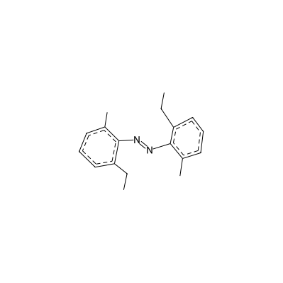 CCc1cccc(C)c1/N=N/c1c(C)cccc1CC